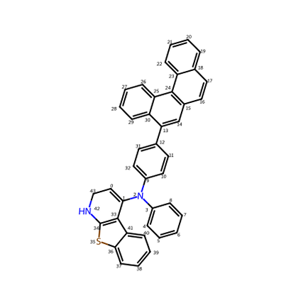 C1=C(N(c2ccccc2)c2ccc(-c3cc4ccc5ccccc5c4c4ccccc34)cc2)c2c(sc3ccccc23)NC1